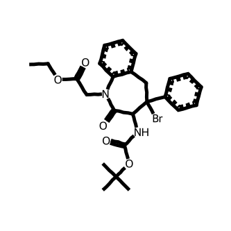 CCOC(=O)CN1C(=O)C(NC(=O)OC(C)(C)C)C(Br)(c2ccccc2)Cc2ccccc21